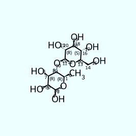 C[C@H]1O[C@@H](O)[C@@H](O)[C@@H](O)[C@@H]1O[C@@H]1O[C@H](CO)[C@@H](O)[C@H](O)[C@H]1O